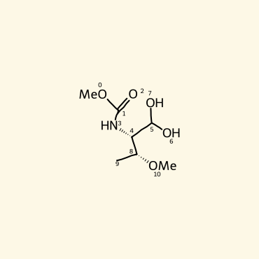 COC(=O)N[C@H](C(O)O)[C@@H](C)OC